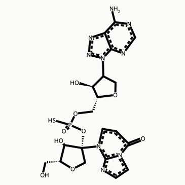 Nc1ncnc2c1nnn2C1CO[C@H](COP(=O)(S)O[C@]2(n3ccc(=O)n4ccnc34)CO[C@H](CO)[C@H]2O)[C@H]1O